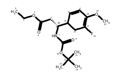 CCOC(=O)C[C@@H](NC(=O)OC(C)(C)C)C1C=CC(OC)=C(F)C1